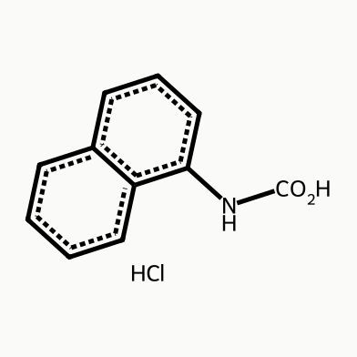 Cl.O=C(O)Nc1cccc2ccccc12